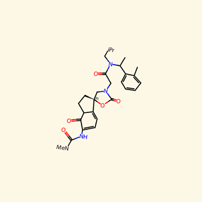 CNC(=O)NC1=CC=C2C(CC[C@]23CN(CC(=O)N(CC(C)C)C(C)c2ccccc2C)C(=O)O3)C1=O